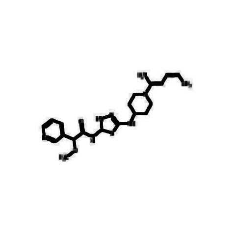 COC(C(=O)NC1NN=C(NC2CCN(/C(N)=C/C=C\N)CC2)S1)c1cccnc1